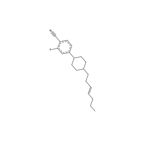 CCC/C=C/CCC1CCC(c2ccc(C#N)c(F)c2)CC1